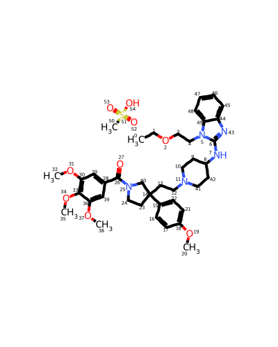 CCOCCn1c(NC2CCN(CCC3(c4ccc(OC)cc4)CCN(C(=O)c4cc(OC)c(OC)c(OC)c4)C3)CC2)nc2ccccc21.CS(=O)(=O)O